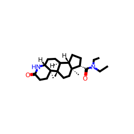 CCN(CC)C(=O)[C@H]1CC[C@H]2[C@@H]3CC[C@H]4NC(=O)CC[C@]4(C)[C@@]3(C)CC[C@]12C